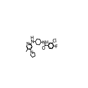 Cc1cnc(NC2CCC(NC(=O)c3ccc(F)c(Cl)c3)CC2)cc1N1CCCC1